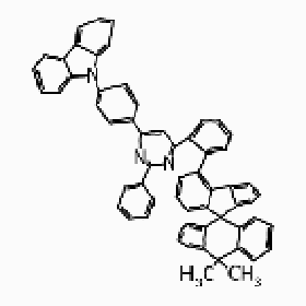 CC1(C)c2ccccc2C2(c3ccccc3-c3c(-c4ccccc4-c4cc(-c5ccc(-n6c7ccccc7c7ccccc76)cc5)nc(-c5ccccc5)n4)cccc32)c2ccccc21